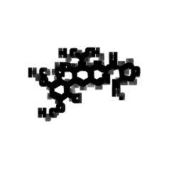 COc1cc(OC)c(Cl)c(C2=Cc3cnc(N[C@@H]4COC[C@@H]4N)nc3N(C(C)C)C2O)c1Cl